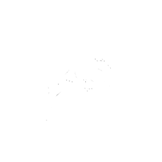 CCC(c1cn(C)nn1)c1c(C(=O)O)cnn1-c1cccc(-c2cccc(OCCC(C)(C)C)c2)c1